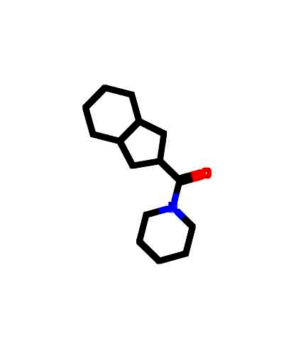 O=C(C1CC2CCCCC2C1)N1CCCCC1